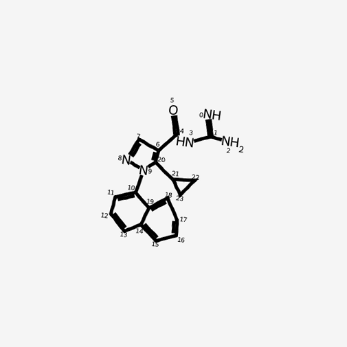 N=C(N)NC(=O)c1cnn(-c2cccc3ccccc23)c1C1CC1